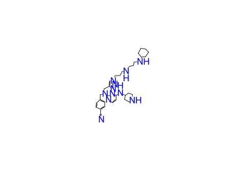 N#Cc1ccc(CN(Cc2cn(CCCNCCCNC3CCCCC3)nn2)c2nccc(NC3CCNCC3)n2)cc1